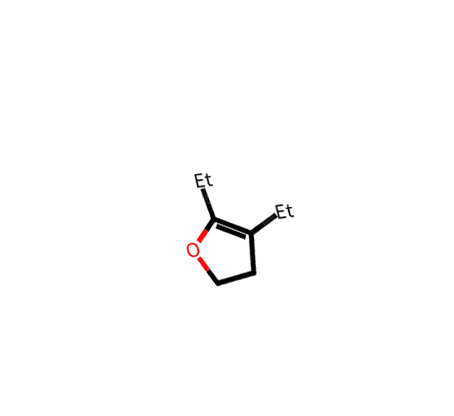 CCC1=C(CC)OCC1